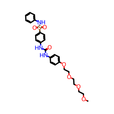 COCCOCCOCCOc1ccc(NC(=O)Nc2ccc(S(=O)(=O)Nc3ccccc3)cc2)cc1